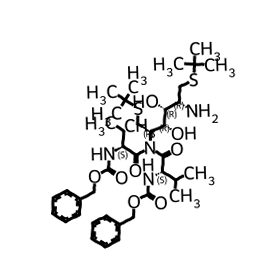 CC(C)[C@H](NC(=O)OCc1ccccc1)C(=O)N(C(=O)[C@@H](NC(=O)OCc1ccccc1)C(C)C)[C@@H](CSC(C)(C)C)[C@@H](O)[C@H](O)[C@@H](N)CSC(C)(C)C